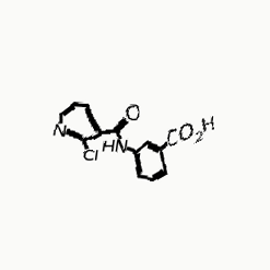 O=C(O)c1cccc(NC(=O)c2cccnc2Cl)c1